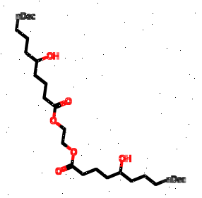 CCCCCCCCCCCCCC(O)CCCC(=O)OCCOC(=O)CCCC(O)CCCCCCCCCCCCC